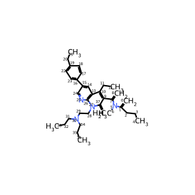 C=C(CCC)N(C)C(=C)C1=C(CC)c2cc(-c3ccc(CC)cc3)cnc2N(CCN(CCC)CCC)C1=C